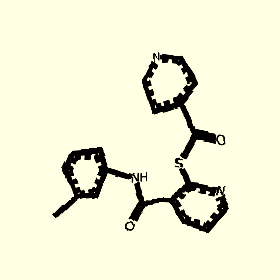 Cc1cccc(NC(=O)c2cccnc2SC(=O)c2ccncc2)c1